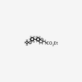 CCOC(=O)CCC1CCc2cc(-c3cccc(OC4CCC4)c3)ccc2O1